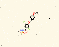 CS(=O)(=O)NC(=O)c1cc(F)c(OCc2ccc(OC(F)(F)F)cc2)cc1F